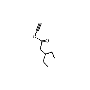 C#COC(=O)CC(CC)CC